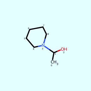 C[C](O)N1CCCCC1